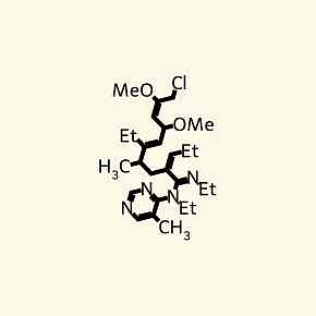 CC/C=C(CC(C)C(=CC(/C=C(\CCl)OC)OC)CC)\C(=N\CC)N(CC)c1ncncc1C